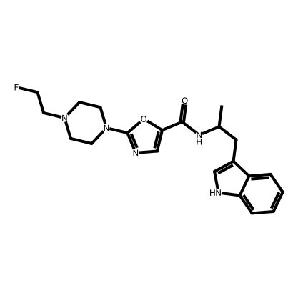 CC(Cc1c[nH]c2ccccc12)NC(=O)c1cnc(N2CCN(CCF)CC2)o1